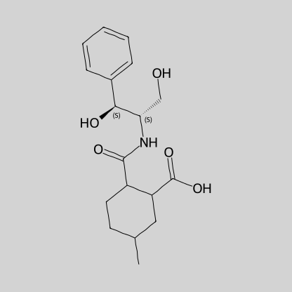 CC1CCC(C(=O)N[C@@H](CO)[C@@H](O)c2ccccc2)C(C(=O)O)C1